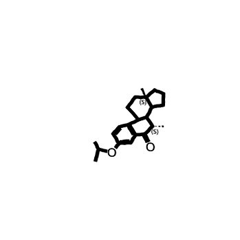 CC(C)Oc1ccc2c(c1)C(=O)[C@@H](C)C1C2CC[C@]2(C)CCCC12